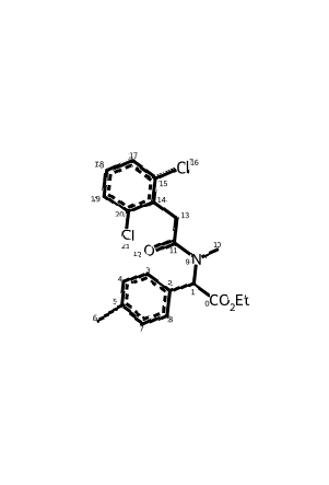 CCOC(=O)C(c1ccc(C)cc1)N(C)C(=O)Cc1c(Cl)cccc1Cl